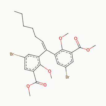 CCCCCC=C(c1cc(Br)cc(C(=O)OC)c1OC)c1cc(Br)cc(C(=O)OC)c1OC